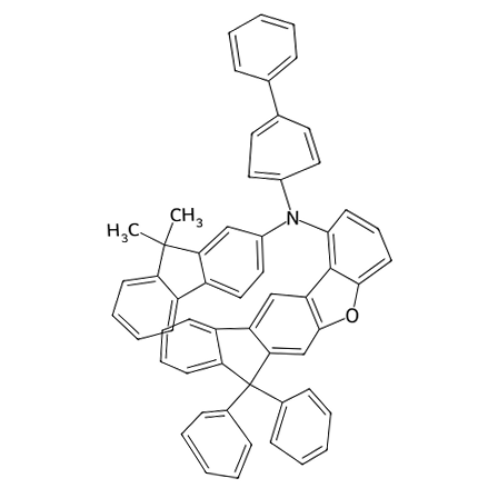 CC1(C)c2ccccc2-c2ccc(N(c3ccc(-c4ccccc4)cc3)c3cccc4oc5cc6c(cc5c34)-c3ccccc3C6(c3ccccc3)c3ccccc3)cc21